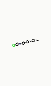 CCC[C@H]1CC[C@H](CC[C@H]2CC[C@H](c3ccc(/C=C/c4ccc(Cl)cc4)cc3)CC2)CC1